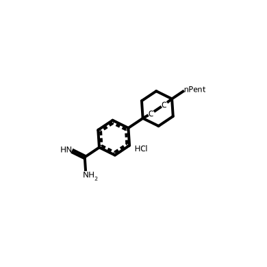 CCCCCC12CCC(c3ccc(C(=N)N)cc3)(CC1)CC2.Cl